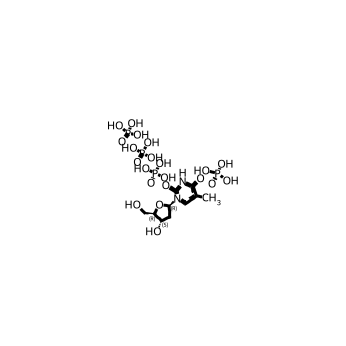 Cc1cn([C@H]2C[C@H](O)[C@@H](CO)O2)c(=O)[nH]c1=O.O=P(O)(O)O.O=P(O)(O)O.O=P(O)(O)O.O=P(O)(O)O